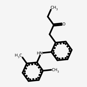 CCC(=O)Cc1ccccc1Nc1c(C)cccc1C